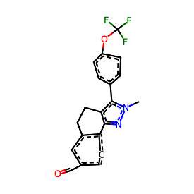 Cn1nc2c(c1-c1ccc(OC(F)(F)F)cc1)CCc1cc(C=O)ccc1-2